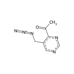 CC(=O)c1ncncc1CN=[N+]=[N-]